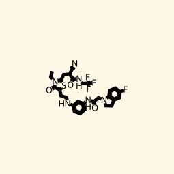 CCN1C(=O)C(CCNc2cccc(NC(=O)CN3CCc4cc(F)ccc43)c2)SC1CC(C#N)C(=O)NCC(F)(F)F